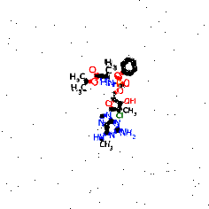 CNc1nc(N)nc2c1ncn2[C@@H]1O[C@H](CO[P@](=O)(N[C@@H](C)C(=O)OC(C)C)Oc2ccccc2)[C@@H](O)[C@@]1(C)Cl